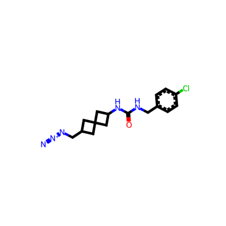 [N-]=[N+]=NCC1CC2(C1)CC(NC(=O)NCc1ccc(Cl)cc1)C2